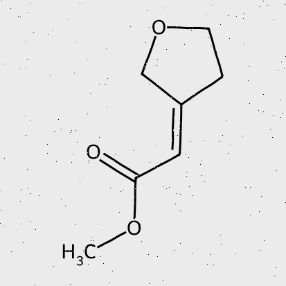 COC(=O)C=C1CCOC1